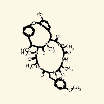 COc1ccc(CC2C(=O)NC(C)C(=O)N(C)C3C(=O)N(C)C(Cc4ccc(O)c(c4)Oc4ccc(cc4)C3O)C(=O)NC(C)C(=O)NC(C)C(=O)N2C)cc1